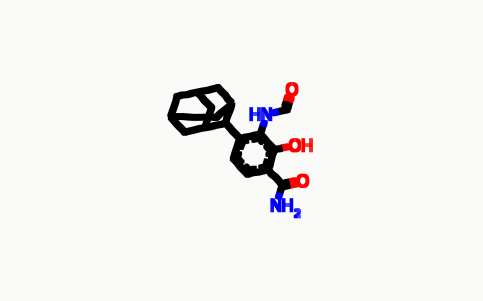 NC(=O)c1ccc(C2C3CC4CC(C3)CC2C4)c(NC=O)c1O